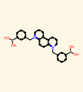 OB(O)c1cccc(C[n+]2cccc3c4ccc[n+](Cc5cccc(B(O)O)c5)c4ccc32)c1